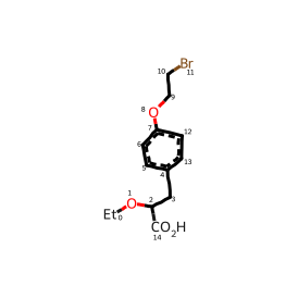 CCOC(Cc1ccc(OCCBr)cc1)C(=O)O